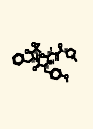 COc1ccc(C[C@H](NC(=O)[C@H](C)NC(=O)[C@@H]2CCN(C)C2)C(=O)N[C@@H](Cc2ccccc2)C(=O)[C@@]2(C)CO2)cc1